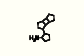 NC1CCCC1C1CCC2C3CCCC3C12